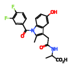 Cc1c(CC(=O)NC(C)C(=O)O)c2cc(O)ccc2n1C(=O)c1ccc(F)c(F)c1